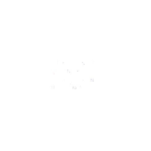 CN(c1nccnc1C#N)S(C)(=O)=O